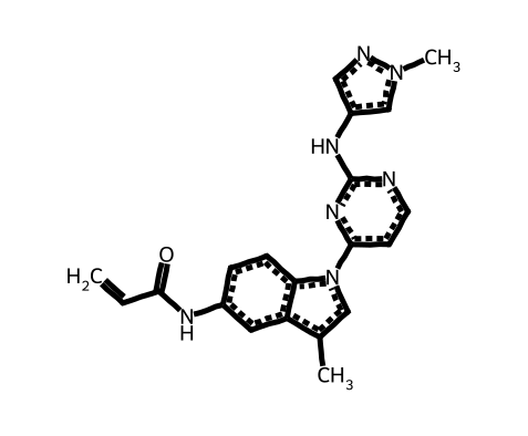 C=CC(=O)Nc1ccc2c(c1)c(C)cn2-c1ccnc(Nc2cnn(C)c2)n1